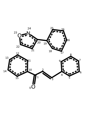 O=C(C=Cc1ccccc1)c1ccccc1.c1ccc(-c2ccon2)cc1